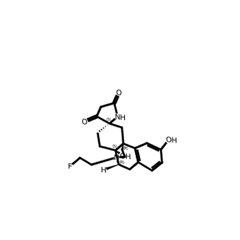 O=C1CC(=O)[C@@]2(CC[C@@]3(O)[C@H]4Cc5ccc(O)cc5[C@@]3(CCN4CCF)C2)N1